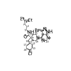 CCN(CC)CCCNC(=O)C1(Cc2ccc(Cl)cc2)CCN(c2ncnc3[nH]nc(Br)c23)CC1